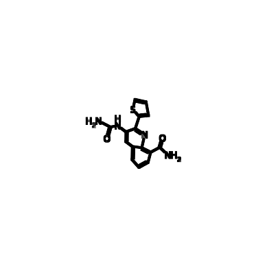 NC(=O)Nc1cc2cccc(C(N)=O)c2nc1-c1cccs1